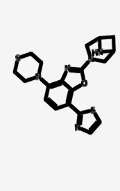 c1csc(-c2ccc(N3CCSCC3)c3nc(N4CC5CC(C4)N5)oc23)n1